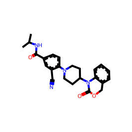 CC(C)NC(=O)c1ccc(N2CCC(N3C(=O)OCc4ccccc43)CC2)c(C#N)c1